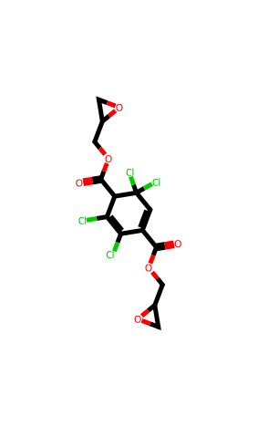 O=C(OCC1CO1)C1=CC(Cl)(Cl)C(C(=O)OCC2CO2)C(Cl)=C1Cl